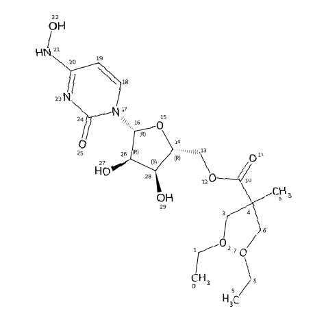 CCOCC(C)(COCC)C(=O)OC[C@H]1O[C@@H](n2ccc(NO)nc2=O)[C@H](O)[C@@H]1O